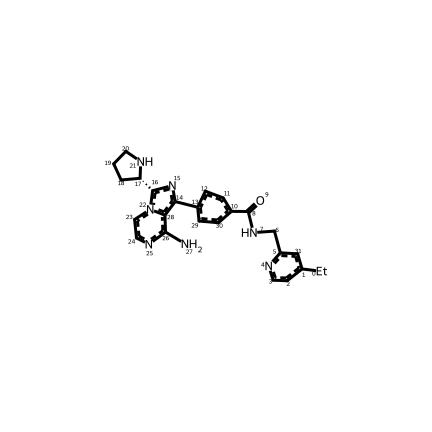 CCc1ccnc(CNC(=O)c2ccc(-c3nc([C@@H]4CCCN4)n4ccnc(N)c34)cc2)c1